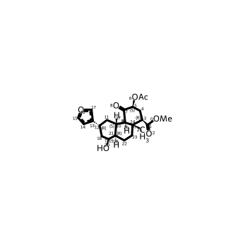 COC(=O)[C@@H]1C[C@H](OC(C)=O)C(=O)[C@@H]2[C@H]3C[C@@H](c4ccoc4)C[C@H](O)[C@@H]3CC[C@]21C